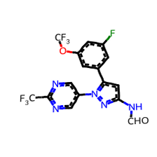 O=CNc1cc(-c2cc(F)cc(OC(F)(F)F)c2)n(-c2cnc(C(F)(F)F)nc2)n1